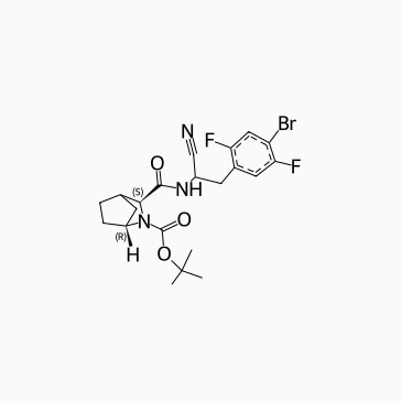 CC(C)(C)OC(=O)N1[C@@H]2CCC(C2)[C@H]1C(=O)NC(C#N)Cc1cc(F)c(Br)cc1F